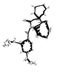 COc1ccc(CNC(=O)C2(c3ccccc3)CCCCC2)c(OC)c1